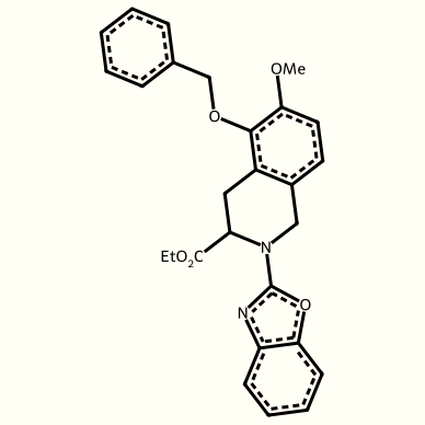 CCOC(=O)C1Cc2c(ccc(OC)c2OCc2ccccc2)CN1c1nc2ccccc2o1